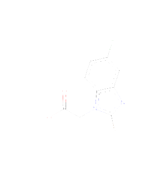 O=C(O)Cn1c(S)nc2cc(F)ccc21